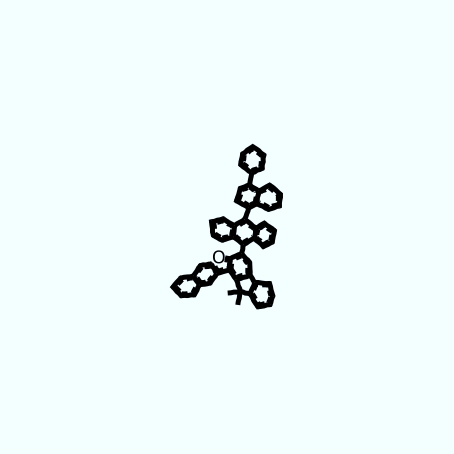 CC1(C)c2ccccc2-c2cc(-c3c4ccccc4c(-c4ccc(-c5ccccc5)c5ccccc45)c4ccccc34)c3oc4cc5ccccc5cc4c3c21